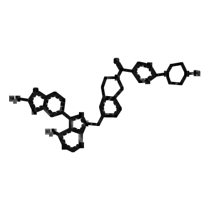 CCN1CCN(c2ncc(C(=O)N3CCc4cc(Cn5nc(-c6ccc7oc(N)nc7c6)c6c(N)ncnc65)ccc4C3)cn2)CC1